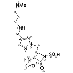 CNCCCNCc1cnn(CC2C(NC=O)C(=O)N2S(=O)(=O)O)n1